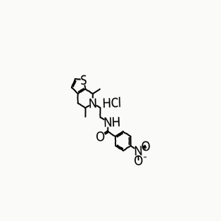 CC1Cc2ccsc2C(C)N1CCNC(=O)c1ccc([N+](=O)[O-])cc1.Cl